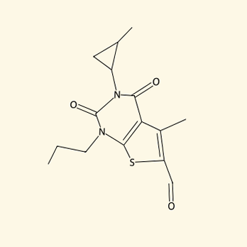 CCCn1c(=O)n(C2CC2C)c(=O)c2c(C)c(C=O)sc21